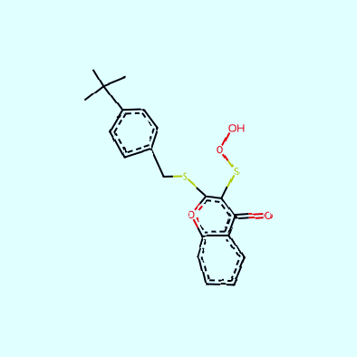 CC(C)(C)c1ccc(CSc2oc3ccccc3c(=O)c2SOO)cc1